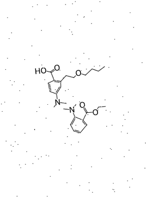 CCCCOCCc1cc(N(C)C)ccc1C(=O)O.CCOC(=O)c1ccccc1N(C)C